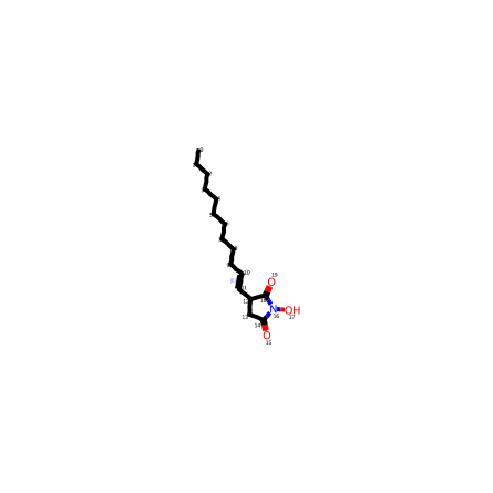 CCCCCCCCCC/C=C/C1CC(=O)N(O)C1=O